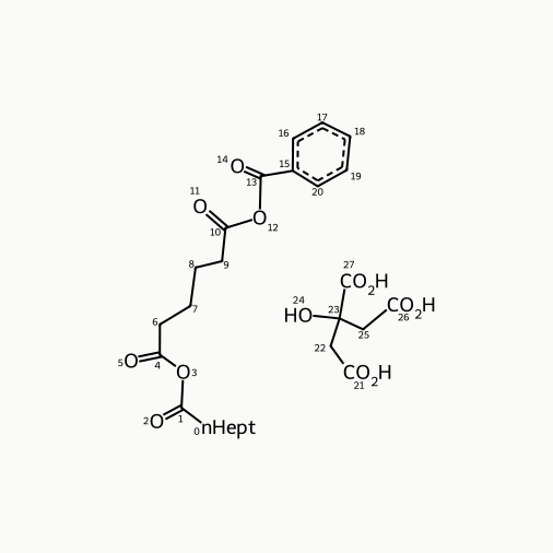 CCCCCCCC(=O)OC(=O)CCCCC(=O)OC(=O)c1ccccc1.O=C(O)CC(O)(CC(=O)O)C(=O)O